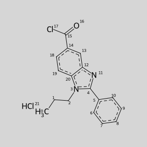 CCCn1c(-c2ccccc2)nc2cc(C(=O)Cl)ccc21.Cl